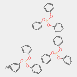 [Mo].c1ccc(OP(Oc2ccccc2)Oc2ccccc2)cc1.c1ccc(OP(Oc2ccccc2)Oc2ccccc2)cc1.c1ccc(OP(Oc2ccccc2)Oc2ccccc2)cc1